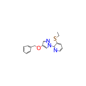 CCSc1cccnc1-n1cc(OCc2ccccc2)cn1